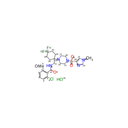 COc1cccc(Cl)c1C(=O)NCC1(N2CCN(S(=O)(=O)c3cn(C)cn3)CC2)CCC(F)(F)CC1.Cl